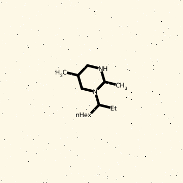 CCCCCCC(CC)N1CC(C)CNC1C